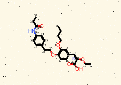 CCCCOc1cc(/C=C(/OCC)C(=O)O)ccc1OCCc1ccc(NC(=O)CC)cc1